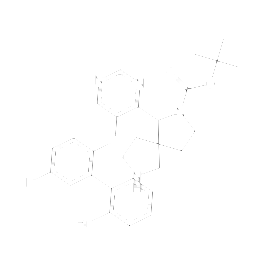 CC(C)(C)OC(=O)N1CCC2(CCNC2)C1c1ncncc1Oc1ccc(F)cc1-c1ccccc1Br